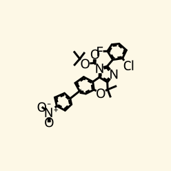 CC(C)(C)OC(=O)n1c(-c2c(F)cccc2Cl)nc2c1-c1ccc(-c3ccc([N+](=O)[O-])cc3)cc1OC2(C)C